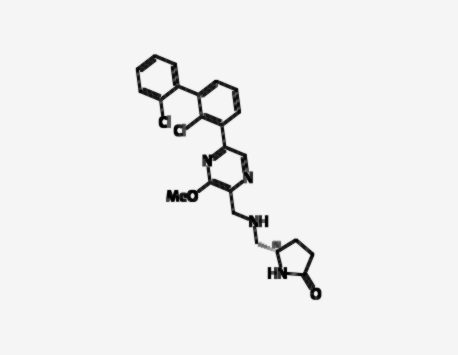 COc1nc(-c2cccc(-c3ccccc3Cl)c2Cl)cnc1CNC[C@@H]1CCC(=O)N1